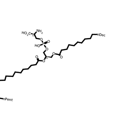 CCCCC/C=C\C/C=C\CCCCCCCCCC(=O)O[C@H](COC(=O)CCCCCCCCCCCCCCCCCCC)COP(=O)(O)OC[C@H](N)C(=O)O